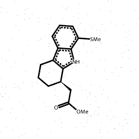 COC(=O)C[C@H]1CCCc2c1[nH]c1c(SC)cccc21